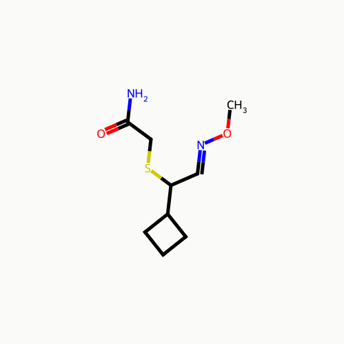 CO/N=C/C(SCC(N)=O)C1CCC1